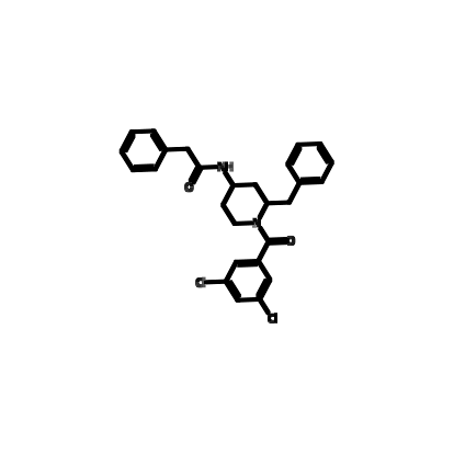 O=C(Cc1ccccc1)NC1CCN(C(=O)c2cc(Cl)cc(Cl)c2)C(Cc2ccccc2)C1